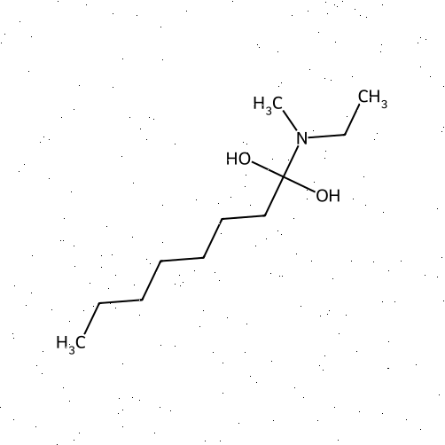 CCCCCCCC(O)(O)N(C)CC